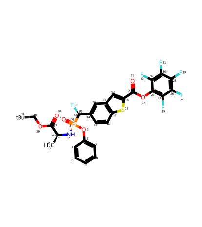 C[C@H](N[P@@](=O)(Oc1ccccc1)[C@@H](F)c1ccc2sc(C(=O)Oc3c(F)c(F)c(F)c(F)c3F)cc2c1)C(=O)OCC(C)(C)C